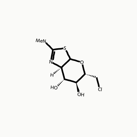 CNC1=N[C@H]2C(O[C@H](CCl)[C@@H](O)[C@@H]2O)S1